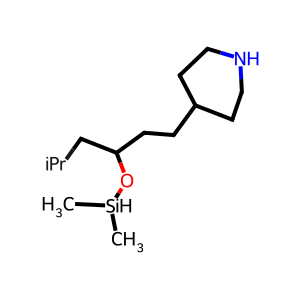 CC(C)CC(CCC1CCNCC1)O[SiH](C)C